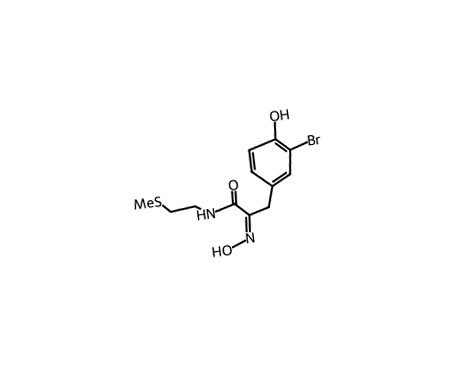 CSCCNC(=O)/C(Cc1ccc(O)c(Br)c1)=N\O